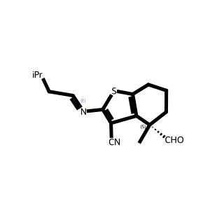 CC(C)C/C=N/c1sc2c(c1C#N)[C@@](C)(C=O)CCC2